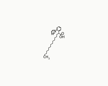 CCCCCCCCCCCCCCC(C(=O)O)c1ccccc1-n1ccnc1